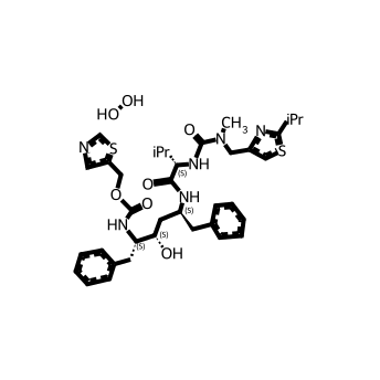 CC(C)c1nc(CN(C)C(=O)N[C@H](C(=O)N[C@@H](Cc2ccccc2)C[C@H](O)[C@H](Cc2ccccc2)NC(=O)OCc2cncs2)C(C)C)cs1.OO